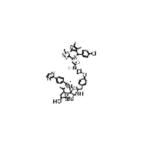 Cc1sc2c(c1C)C(c1ccc(Cl)cc1)=N[C@@H](CC(=O)N[C@H]1C[C@H](Oc3ccc(CC(=O)N[C@H](C(=O)N4C[C@H](O)CC4C(C)N[C@@H](C)c4ccc(-c5nccn5C)cc4)C(C)(C)C)cc3)C1)c1nnc(C)n1-2